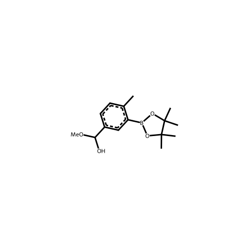 COC(O)c1ccc(C)c(B2OC(C)(C)C(C)(C)O2)c1